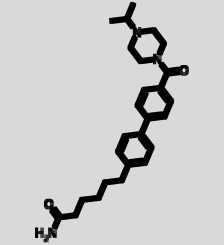 CC(C)N1CCN(C(=O)c2ccc(-c3ccc(CCCCCC(N)=O)cc3)cc2)CC1